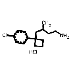 CC(CCN)CC1(c2ccc(Cl)cc2)CCC1.Cl